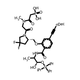 CCCCCCCCCCC#Cc1ccc(C(=O)NC(C)[C@H](O)O[Si](C(C)C)(C(C)C)C(C)C)c(OC[C@@H]2CC(F)(F)CN2C(=O)CN(C)C(=O)CP(=O)(O)O)c1